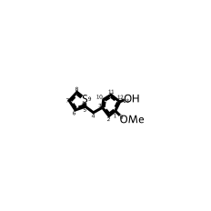 COc1cc(Cc2cccs2)ccc1O